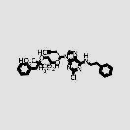 C#CC[C@@H](O[C@@H](C)COC(Cc1ccccc1)(C(=O)O)C(=O)O)n1cnc2c(NCCc3ccccc3)nc(Cl)nc21